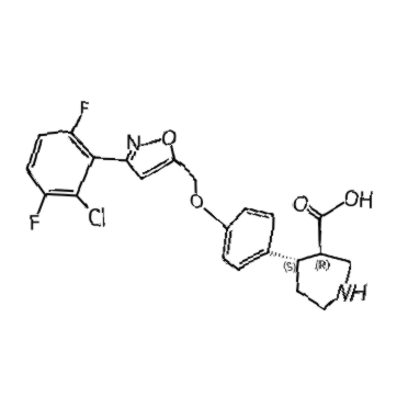 O=C(O)[C@H]1CNCC[C@@H]1c1ccc(OCc2cc(-c3c(F)ccc(F)c3Cl)no2)cc1